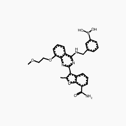 COCCOc1cccc2c(NCc3cccc(B(O)O)c3)nc(-c3c(C)oc4c(C(N)=O)cccc34)nc12